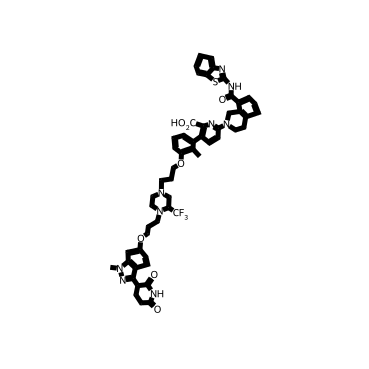 Cc1c(OCCCN2CCN(CCCOc3ccc4c(C5CCC(=O)NC5=O)nn(C)c4c3)C(C(F)(F)F)C2)cccc1-c1ccc(N2CCc3cccc(C(=O)Nc4nc5ccccc5s4)c3C2)nc1C(=O)O